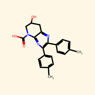 Cc1ccc(-c2nc3c(nc2-c2ccc(C)cc2)N(C(=O)O)CC(O)C3)cc1